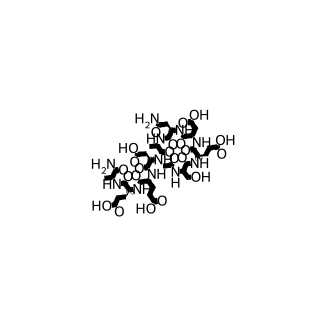 CC(=O)NC(CO)C(=O)N[C@H](CCC(=O)O)C(=O)NC(CC(=O)O)C(=O)N[C@H](CC(N)=O)C(=O)NC(C)C(=O)N[C@H](CC(=O)O)C(=O)NC(CCC(=O)O)C(=O)N[C@H](CCC(=O)O)C(=O)NC(C)C(N)=O